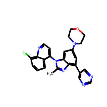 Cc1nc2c(-c3cncnc3)cc(N3CCOCC3)cc2n1-c1ccnc2c(Cl)cccc12